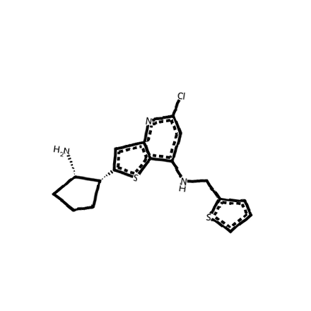 N[C@H]1CCC[C@H]1c1cc2nc(Cl)cc(NCc3cccs3)c2s1